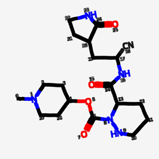 CN1CCC(OC(=O)N2NCCCC2C(=O)NC(C#N)CC2CCNC2=O)CC1